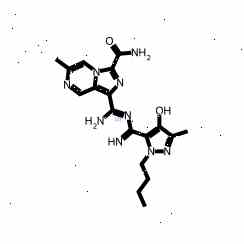 CCCCn1nc(C)c(O)c1C(=N)/N=C(\N)c1nc(C(N)=O)n2cc(C)ncc12